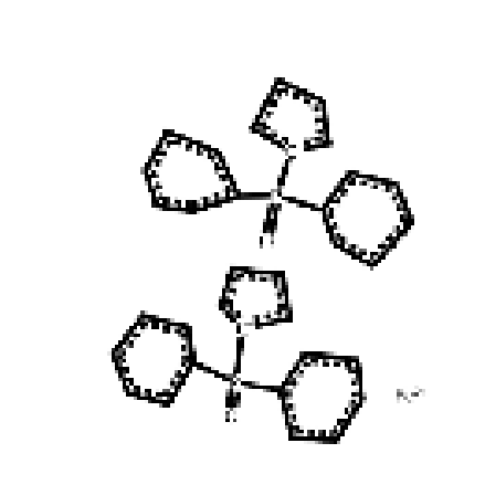 O=P(c1ccccc1)(c1ccccc1)[c-]1cccc1.O=P(c1ccccc1)(c1ccccc1)[c-]1cccc1.[Fe+2]